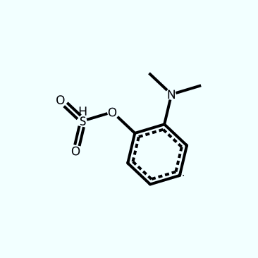 CN(C)c1c[c]ccc1O[SH](=O)=O